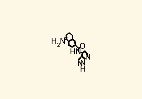 N[C@H]1CCCc2cc(C(=O)Nc3ccnc4[nH]ncc34)ccc21